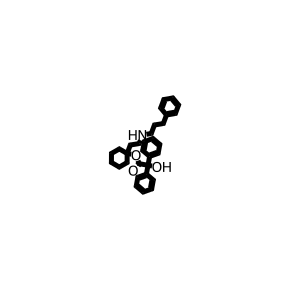 O=C(OC1(CCNCCCc2ccccc2)CCCCC1)C(O)(c1ccccc1)c1ccccc1